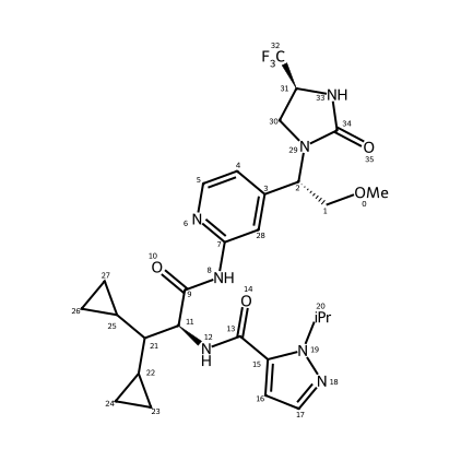 COC[C@H](c1ccnc(NC(=O)[C@@H](NC(=O)c2ccnn2C(C)C)C(C2CC2)C2CC2)c1)N1C[C@@H](C(F)(F)F)NC1=O